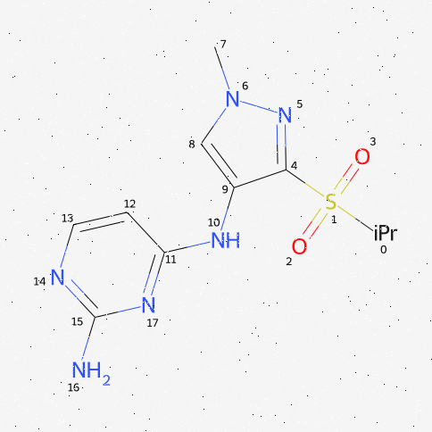 CC(C)S(=O)(=O)c1nn(C)cc1Nc1ccnc(N)n1